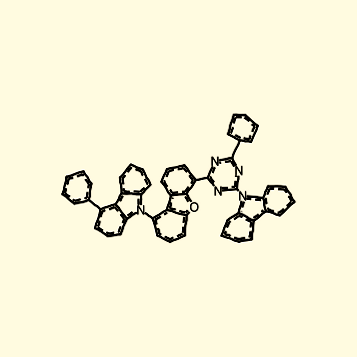 c1ccc(-c2nc(-c3cccc4c3oc3cccc(-n5c6ccccc6c6c(-c7ccccc7)cccc65)c34)nc(-n3c4ccccc4c4ccccc43)n2)cc1